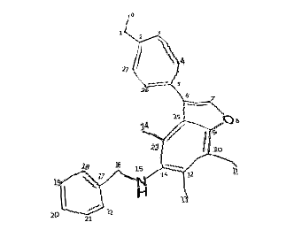 CCc1ccc(-c2coc3c(C)c(C)c(NCc4ccccc4)c(C)c23)cc1